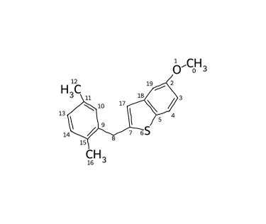 COc1ccc2sc(Cc3cc(C)ccc3C)cc2c1